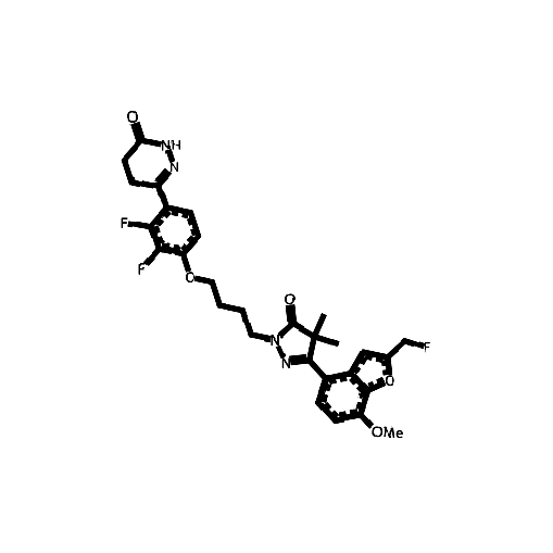 COc1ccc(C2=NN(CCCCOc3ccc(C4=NNC(=O)CC4)c(F)c3F)C(=O)C2(C)C)c2cc(CF)oc12